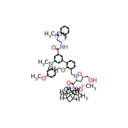 COc1ccc(COc2c(CN3O[C@@H](CO)[C@H]([C@H](C)O)[C@H]3C(=O)N[C@H]3[C@@H](C)[C@H]4C[C@@H]([C@@H]3C)C4(C)C)cccc2-c2cc(C(=O)N[C@@H](Cc3ccccc3)CN(C)C)cc(N(C)C)c2)cc1